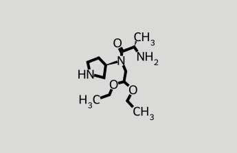 CCOC(CN(C(=O)[C@H](C)N)[C@@H]1CCNC1)OCC